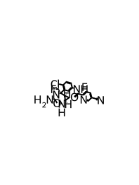 N#Cc1cnc(C(=O)Nc2ccc(Cl)c([C@@]3(CF)N=C(N)ON[C@@H]4C[C@@H]43)c2)c(F)c1